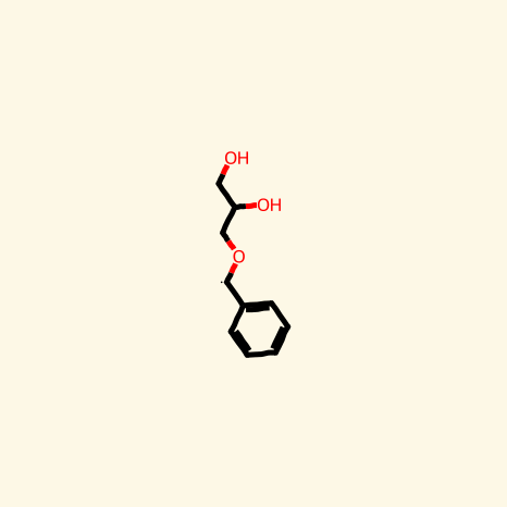 OCC(O)CO[CH]c1ccccc1